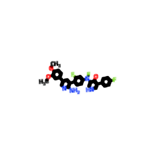 COc1ccc(-c2cnc(N)c(-c3ccc(N(F)c4c[nH]cc(-c5ccc(F)cc5)c4=O)cc3F)c2)cc1OC